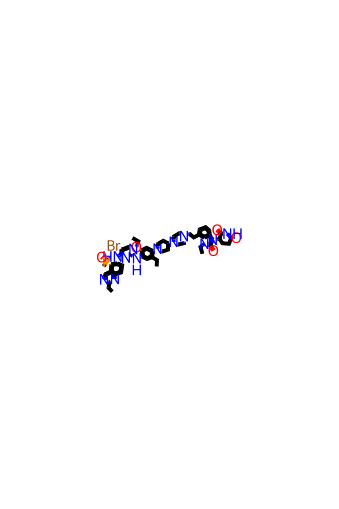 CCOc1cc(N2CCC(N3CCN(CCc4cccc5c4n(CC)c(=O)n5C4CCC(=O)NC4=O)CC3)CC2)c(CC)cc1Nc1ncc(Br)c(Nc2ccc3nc(CC)ncc3c2P(C)(C)=O)n1